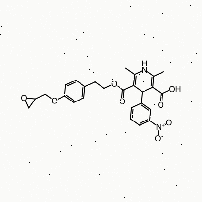 CC1=C(C(=O)O)C(c2cccc([N+](=O)[O-])c2)C(C(=O)OCCc2ccc(OCC3CO3)cc2)=C(C)N1